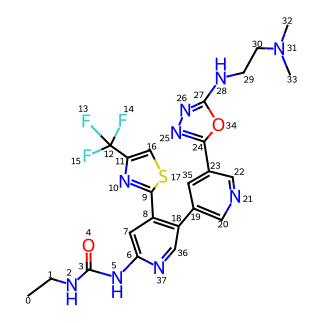 CCNC(=O)Nc1cc(-c2nc(C(F)(F)F)cs2)c(-c2cncc(-c3nnc(NCCN(C)C)o3)c2)cn1